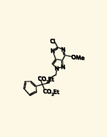 CCOC(=O)C(CCCn1cc2nc(Cl)nc(OC)c2n1)(C(=O)OCC)c1ccccc1